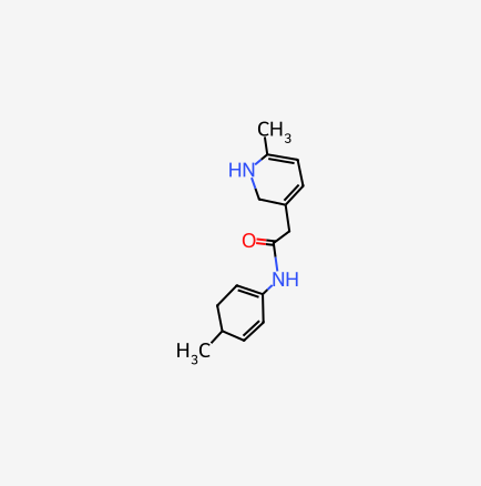 CC1=CC=C(CC(=O)NC2=CCC(C)C=C2)CN1